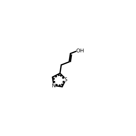 OC=CCc1cncs1